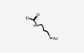 CCC(=O)NCCCSC(C)=O